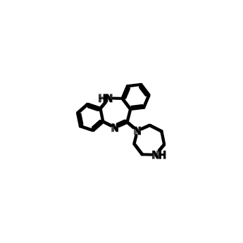 c1ccc2c(c1)N=C(N1CCCNCC1)c1ccccc1N2